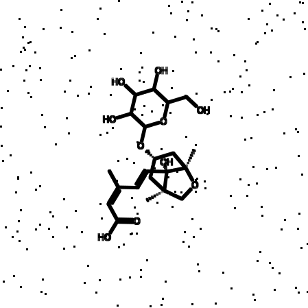 CC(=C/C(=O)O)/C=C/[C@]1(O)[C@@]2(C)CO[C@]1(C)C[C@@H](OC1OC(CO)C(O)C(O)C1O)C2